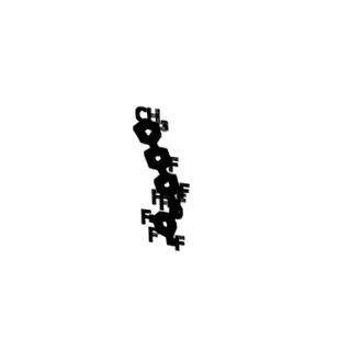 Cc1ccc(-c2ccc(-c3cc(F)c(C(F)(F)Oc4cc(F)c(F)c(CF)c4)c(F)c3)c(F)c2)cc1